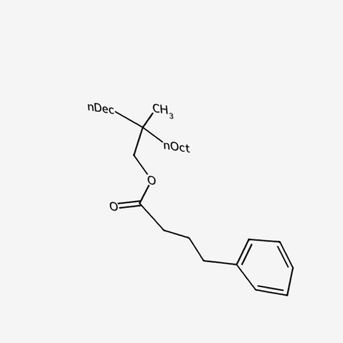 CCCCCCCCCCC(C)(CCCCCCCC)COC(=O)CCCc1ccccc1